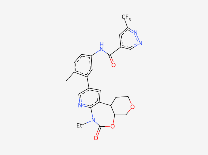 CCN1C(=O)OC2COCCC2c2cc(-c3cc(NC(=O)c4cnnc(C(F)(F)F)c4)ccc3C)cnc21